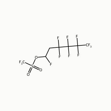 O=S(=O)(OC(F)CC(F)(F)C(F)(F)C(F)(F)C(F)(F)F)C(F)(F)F